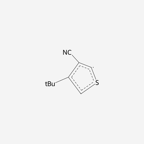 CC(C)(C)c1cs[c]c1C#N